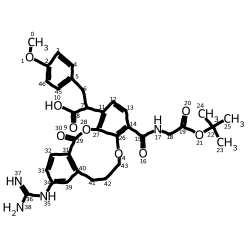 COc1ccc(CC(C(=O)O)c2ccc(C(=O)NCC(=O)OC(C)(C)C)c3c2OC(=O)c2ccc(NC(=N)N)cc2CCCO3)cc1